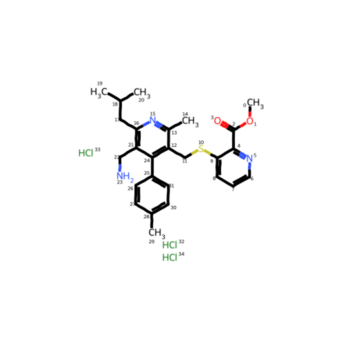 COC(=O)c1ncccc1SCc1c(C)nc(CC(C)C)c(CN)c1-c1ccc(C)cc1.Cl.Cl.Cl